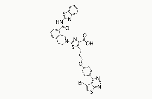 O=C(Nc1nc2ccccc2s1)c1cccc2c1CN(c1nc(C(=O)O)c(CCCOc3ccc(-c4ncnc5scc(Br)c45)cc3)s1)CC2